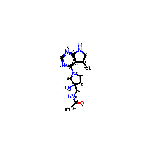 CCC1CNc2ncnc(N3CC[C@](N)(CNC(=O)C(C)C)C3)c21